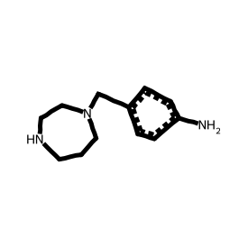 Nc1ccc(CN2CCCNCC2)cc1